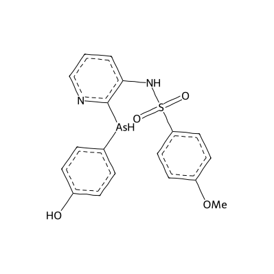 COc1ccc(S(=O)(=O)Nc2cccnc2[AsH]c2ccc(O)cc2)cc1